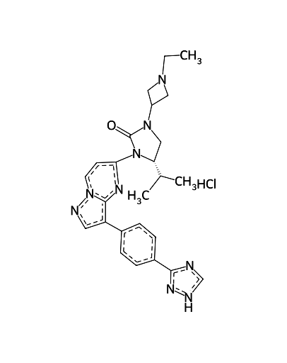 CCN1CC(N2C[C@H](C(C)C)N(c3ccn4ncc(-c5ccc(-c6nc[nH]n6)cc5)c4n3)C2=O)C1.Cl